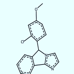 COc1ccc(C2c3ccccc3-c3nccn32)c(Cl)c1